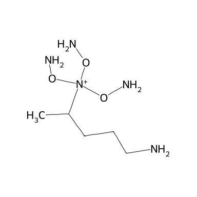 CC(CCCN)[N+](ON)(ON)ON